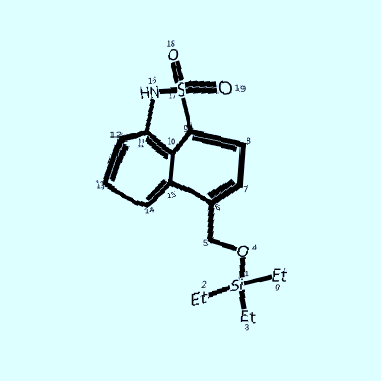 CC[Si](CC)(CC)OCc1ccc2c3c(cccc13)NS2(=O)=O